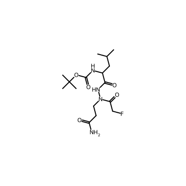 CC(C)CC(NC(=O)OC(C)(C)C)C(=O)NN(CCC(N)=O)C(=O)CF